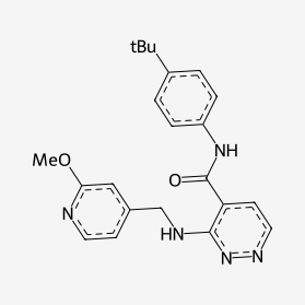 COc1cc(CNc2nnccc2C(=O)Nc2ccc(C(C)(C)C)cc2)ccn1